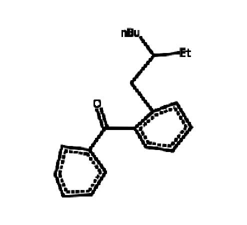 CCCCC(CC)Cc1ccccc1C(=O)c1ccccc1